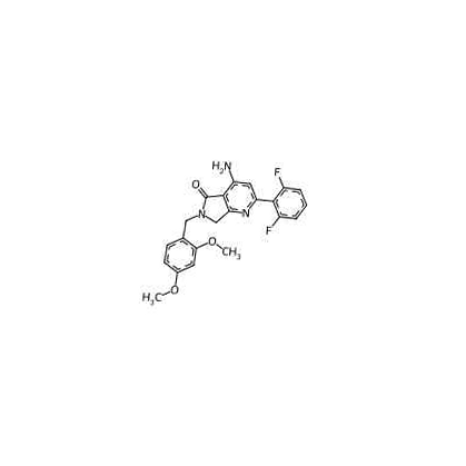 COc1ccc(CN2Cc3nc(-c4c(F)cccc4F)cc(N)c3C2=O)c(OC)c1